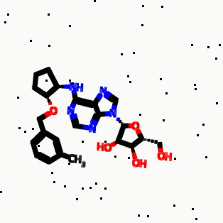 Cc1cccc(CO[C@@H]2CCC[C@H]2Nc2ncnc3c2ncn3[C@@H]2O[C@H](CO)[C@@H](O)[C@H]2O)c1